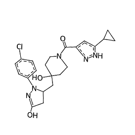 O=C(c1cc(C2CC2)[nH]n1)N1CCC(O)(CC2CC(O)=NN2c2ccc(Cl)cc2)CC1